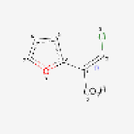 O=C(O)/C(=C/Cl)c1ccco1